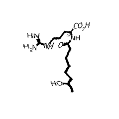 C=C(O)CCCCCC(=O)N[C@@H](CCCNC(=N)N)C(=O)O